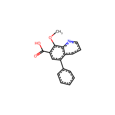 COc1c(C(=O)O)cc(-c2ccccc2)c2cccnc12